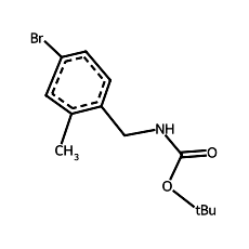 Cc1cc(Br)ccc1CNC(=O)OC(C)(C)C